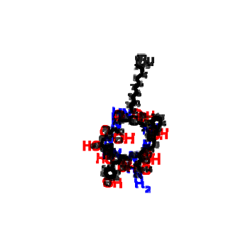 CC[C@H](C)C[C@H](C)CCCCCCCCC(=O)N[C@H]1C[C@@H](O)[C@@H](Sc2ccccc2)NC(=O)[C@@H]2[C@@H](O)CCN2C(=O)[C@H]([C@H](O)CC(N)=O)NC(=O)[C@H]([C@H](O)[C@@H](O)c2ccc(O)cc2)NC(=O)[C@@H]2C[C@@H](O)CN2C(=O)/C(CO)=N/C1=O